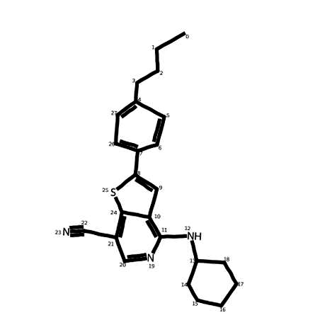 CCCCc1ccc(-c2cc3c(NC4CCCCC4)ncc(C#N)c3s2)cc1